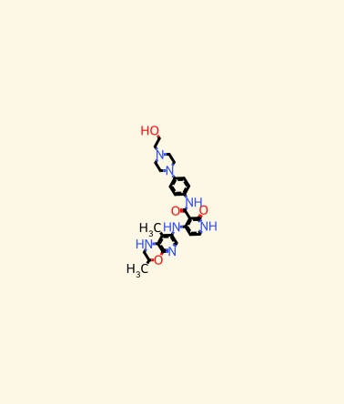 Cc1c(Nc2cc[nH]c(=O)c2C(=O)Nc2ccc(N3CCN(CCO)CC3)cc2)cnc2c1NCC(C)O2